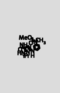 COCC(=O)N(C)c1cccc(Nc2ncc(C(N)=O)c(NC(C)C)n2)c1